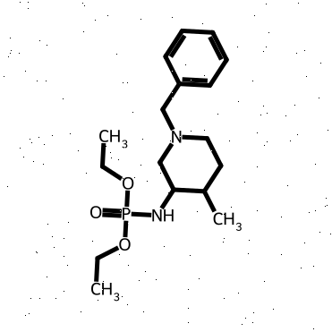 CCOP(=O)(NC1CN(Cc2ccccc2)CCC1C)OCC